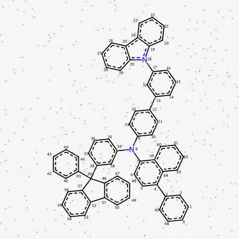 c1ccc(-c2ccc(N(c3ccc(-c4cccc(-n5c6ccccc6c6ccccc65)c4)cc3)c3cccc(C4(c5ccccc5)c5ccccc5-c5ccccc54)c3)c3ccccc23)cc1